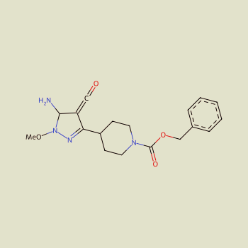 CON1N=C(C2CCN(C(=O)OCc3ccccc3)CC2)C(=C=O)C1N